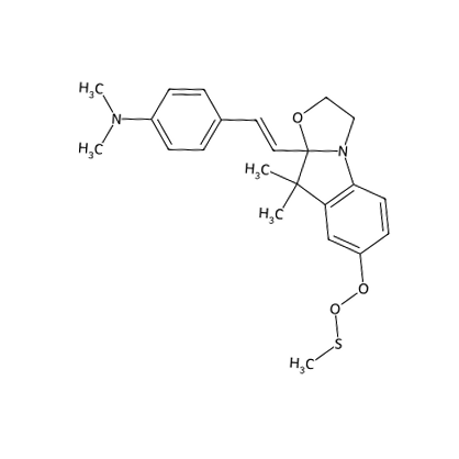 CSOOc1ccc2c(c1)C(C)(C)C1(C=Cc3ccc(N(C)C)cc3)OCCN21